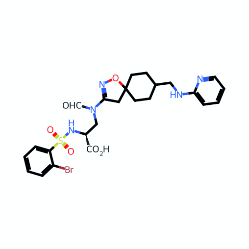 O=CN(C[C@H](NS(=O)(=O)c1ccccc1Br)C(=O)O)C1=NOC2(CCC(CNc3ccccn3)CC2)C1